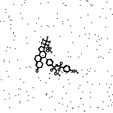 CCS(=O)(=NS(=O)(=O)c1ccc(C)cc1)c1ccc([C@H]2C[C@@]3(C)C(CC[C@@]3(O)C(F)(F)C(F)(F)F)C3CCC4=CC(=O)CCC4=C32)cc1